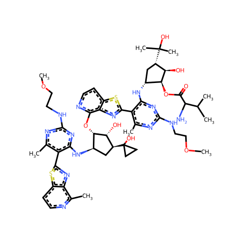 COCCNc1nc(C)c(-c2nc3c(C)nccc3s2)c(N[C@@H]2C[C@H](C3(O)CC3)[C@@H](O)[C@H]2Oc2nccc3sc(-c4c(C)nc(NCCOC)nc4N[C@@H]4C[C@H](C(C)(C)O)[C@@H](O)[C@H]4OC(=O)C(N)C(C)C)nc23)n1